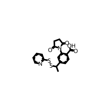 CC(SSc1ccccn1)c1ccc(C(=O)O)c(N2C(=O)CCC2=O)c1